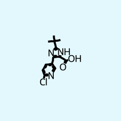 CC(C)(C)c1nc(-c2ccc(Cl)nc2)c(C(=O)O)[nH]1